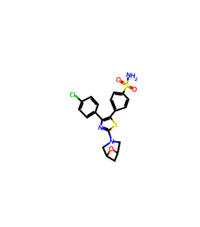 NS(=O)(=O)c1ccc(-c2sc(N3CC4CC(C3)O4)nc2-c2ccc(Cl)cc2)cc1